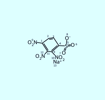 O=[N+]([O-])c1ccc(S(=O)(=O)[O-])c([N+](=O)[O-])c1[N+](=O)[O-].[Na+]